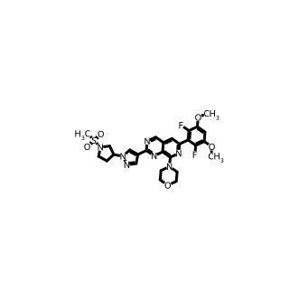 COc1cc(OC)c(F)c(-c2cc3cnc(-c4cnn(C5CCN(S(C)(=O)=O)C5)c4)nc3c(N3CCOCC3)n2)c1F